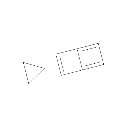 C1CC1.c1cc2ccc1-2